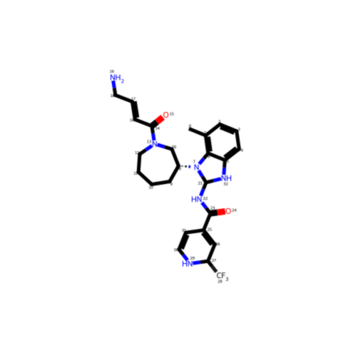 Cc1cccc2c1N([C@@H]1CCCCN(C(=O)/C=C/CN)C1)C(NC(=O)C1=CC(C(F)(F)F)NC=C1)N2